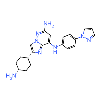 Nc1cc(Nc2ccc(-n3cccn3)cc2)c2nc([C@H]3CC[C@@H](N)CC3)cn2n1